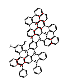 Fc1cc(F)c(N2c3cc4c(cc3B3c5ccccc5N(c5ccccc5)c5cc(N(c6ccccc6)c6ccccc6)cc2c53)B2c3ccccc3N(c3c(-c5ccccc5)cccc3-c3ccccc3)c3cc(N(c5ccccc5)c5c(-c6ccccc6)cccc5-c5ccccc5)cc(c32)S4)c(-c2ccccc2)c1